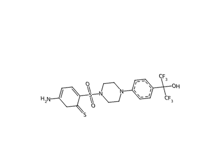 NC1=CC=C(S(=O)(=O)N2CCN(c3ccc(C(O)(C(F)(F)F)C(F)(F)F)cc3)CC2)C(=S)C1